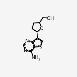 Nc1ncnc2c([C@H]3CCC(CO)O3)csc12